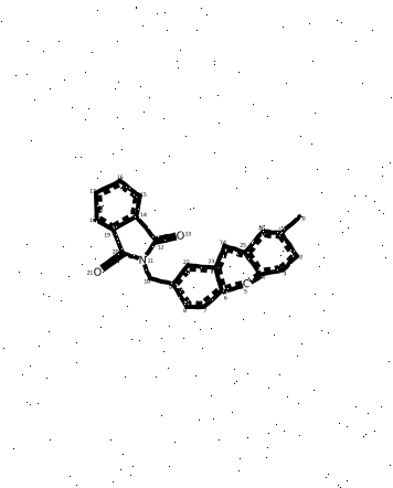 Cc1ccc2cc3ccc(CN4C(=O)c5ccccc5C4=O)cc3cc2c1